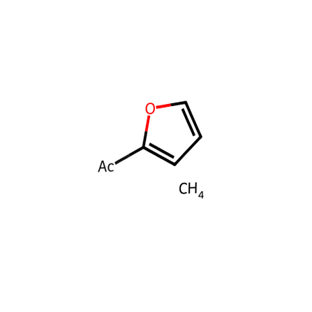 C.CC(=O)c1ccco1